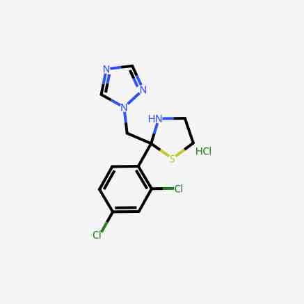 Cl.Clc1ccc(C2(Cn3cncn3)NCCS2)c(Cl)c1